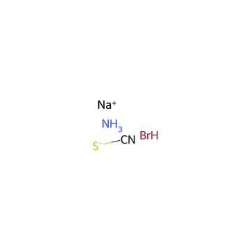 Br.N.N#C[S-].[Na+]